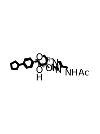 CC(=O)NCc1cn(C[C@H]2CO[C@H](c3ccc(C4CCCC4)cc3)[C@H](O)[C@@H]2O)nn1